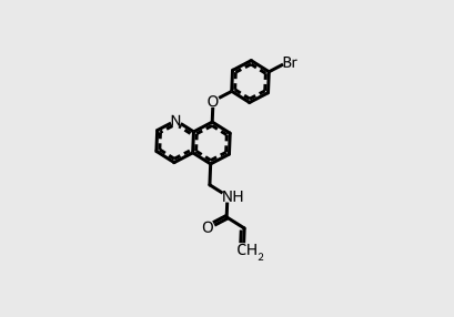 C=CC(=O)NCc1ccc(Oc2ccc(Br)cc2)c2ncccc12